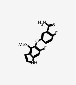 CSc1c(Oc2ccc(F)c(C(N)=S)c2)c(F)cc2[nH]ccc12